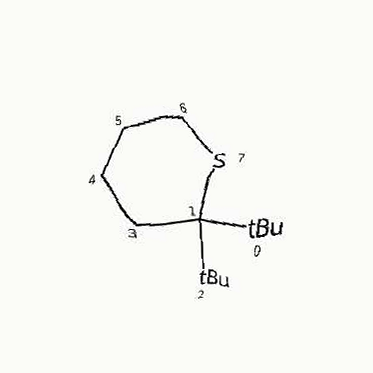 CC(C)(C)C1(C(C)(C)C)CCCCS1